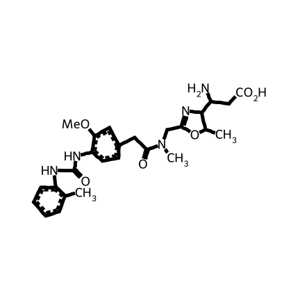 COc1cc(CC(=O)N(C)CC2=NC(C(N)CC(=O)O)C(C)O2)ccc1NC(=O)Nc1ccccc1C